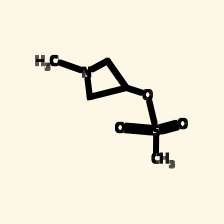 CN1CC(OS(C)(=O)=O)C1